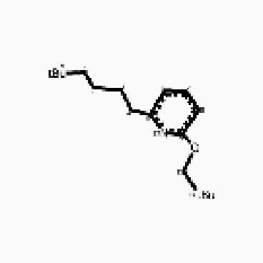 CC(C)(C)CCCCc1cccc(OCC(C)(C)C)n1